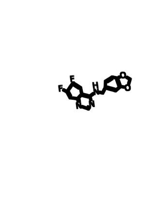 Fc1cc2ncnc(NCc3ccc4c(c3)OCO4)c2cc1F